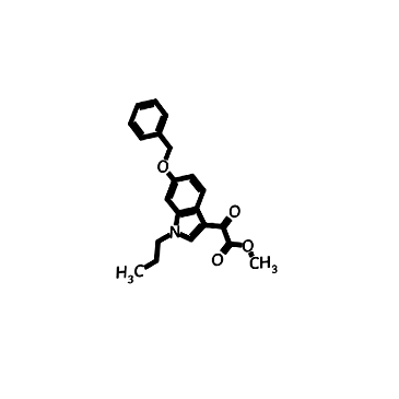 CCCn1cc(C(=O)C(=O)OC)c2ccc(OCc3ccccc3)cc21